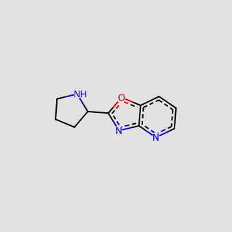 c1cnc2nc(C3CCCN3)oc2c1